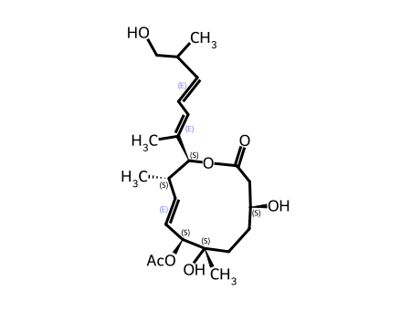 CC(=O)O[C@H]1/C=C/[C@H](C)[C@@H](/C(C)=C/C=C/C(C)CO)OC(=O)C[C@@H](O)CC[C@]1(C)O